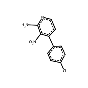 Nc1nccc(-c2ccc(Cl)nc2)c1[N+](=O)[O-]